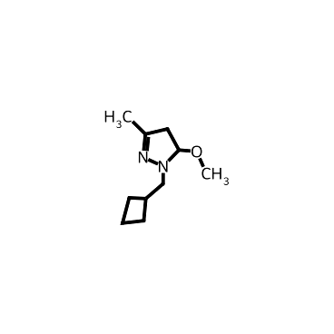 COC1CC(C)=NN1CC1CCC1